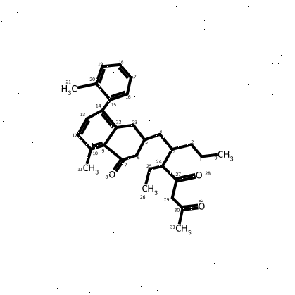 CCCC(CC1CC(=O)c2c(C)ccc(-c3ccccc3C)c2C1)C(CC)C(=O)CC(C)=O